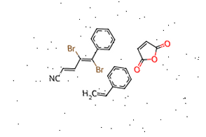 C=Cc1ccccc1.N#CC=CC(Br)=C(Br)c1ccccc1.O=C1C=CC(=O)O1